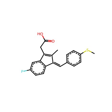 CSc1ccc(C=C2C(C)=C(CC(=O)O)c3cc(F)ccc32)cc1